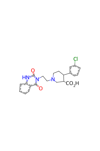 O=C(O)C1CN(CCn2c(=O)[nH]c3ccccc3c2=O)CCC1c1cccc(Cl)c1